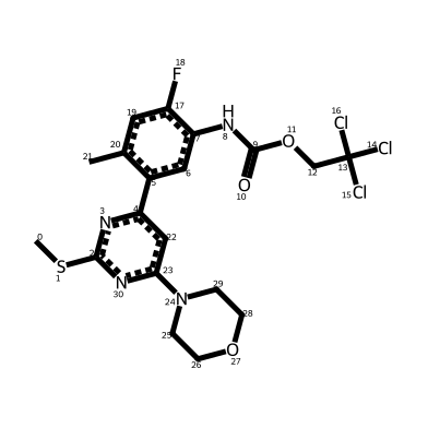 CSc1nc(-c2cc(NC(=O)OCC(Cl)(Cl)Cl)c(F)cc2C)cc(N2CCOCC2)n1